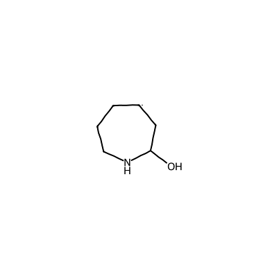 OC1C[CH]CCCN1